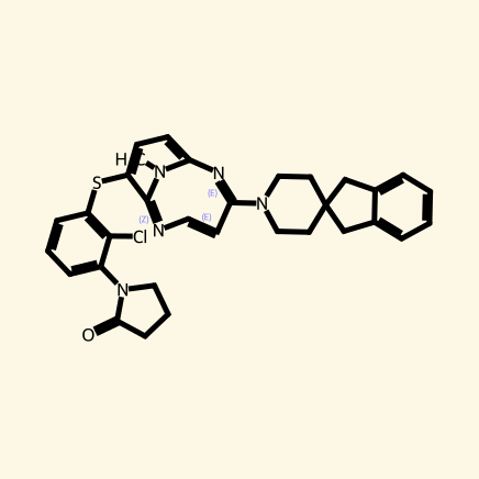 CN1C2=CC=C(Sc3cccc(N4CCCC4=O)c3Cl)/C1=N/C=C/C(N1CCC3(CC1)Cc1ccccc1C3)=N\2